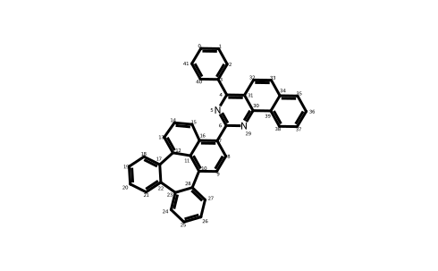 c1ccc(-c2nc(-c3ccc4c5c(cccc35)-c3ccccc3-c3ccccc3-4)nc3c2ccc2ccccc23)cc1